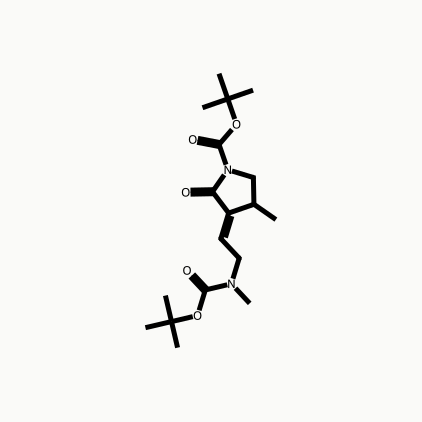 CC1CN(C(=O)OC(C)(C)C)C(=O)/C1=C/CN(C)C(=O)OC(C)(C)C